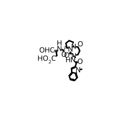 Cn1c(C(=O)NN2CCC(=O)N3CCC[C@@H](C(=O)N[C@H](C=O)CC(=O)O)N3C2=O)cc2ccccc21